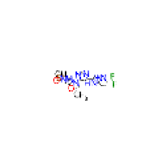 C[S+]([O-])NC[C@H]1CN(c2cc(-c3cnc(/C=C\C(=N)C(F)F)[nH]3)ncn2)C[C@H](C(F)(F)F)O1